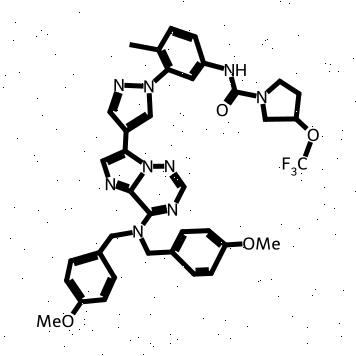 COc1ccc(CN(Cc2ccc(OC)cc2)c2ncnn3c(-c4cnn(-c5cc(NC(=O)N6CCC(OC(F)(F)F)C6)ccc5C)c4)cnc23)cc1